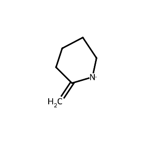 C=C1CCCC[N]1